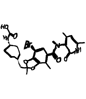 Cc1cc(C)c(N(C)C(=O)c2cc(Br)c3c(c2C)OC(C)(C[C@H]2CC[C@@H](NC(=O)O)CC2)O3)c(=O)[nH]1